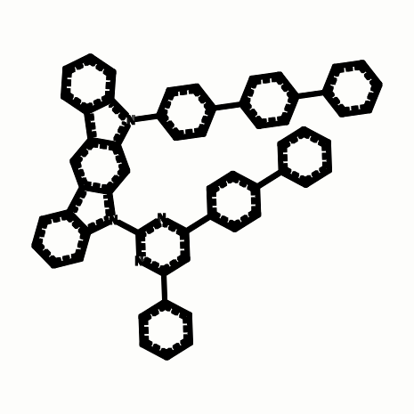 c1ccc(-c2ccc(-c3ccc(-n4c5ccccc5c5cc6c7ccccc7n(-c7nc(-c8ccccc8)cc(-c8ccc(-c9ccccc9)cc8)n7)c6cc54)cc3)cc2)cc1